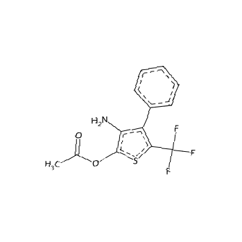 CC(=O)Oc1sc(C(F)(F)F)c(-c2ccccc2)c1N